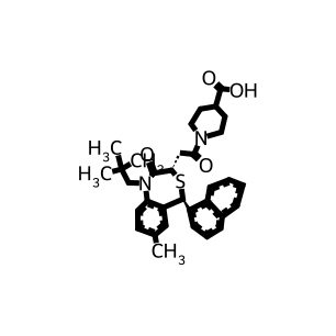 Cc1ccc2c(c1)[C@H](c1cccc3ccccc13)S[C@@H](CC(=O)N1CCC(C(=O)O)CC1)C(=O)N2CC(C)(C)C